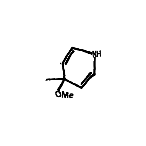 COC1(C)[C]=CNC=C1